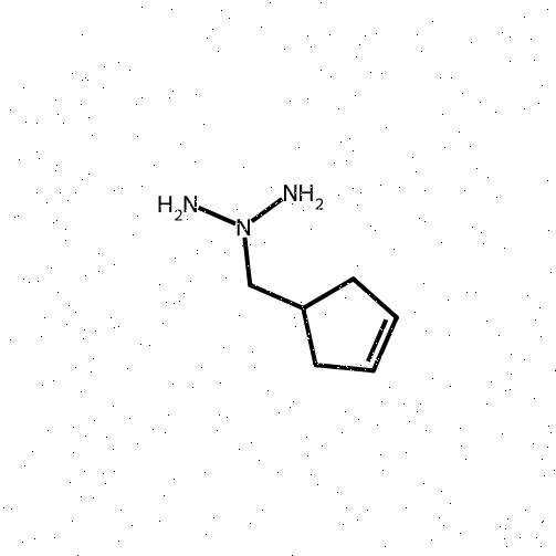 NN(N)CC1CC=CC1